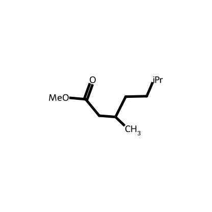 COC(=O)CC(C)CCC(C)C